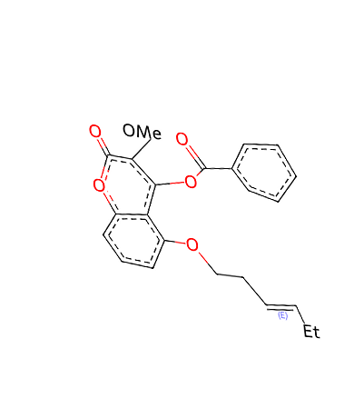 CC/C=C/CCOc1cccc2oc(=O)c(OC)c(OC(=O)c3ccccc3)c12